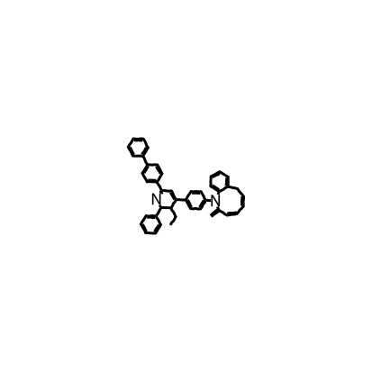 C=C1/C=C\C=C/Cc2ccccc2N1c1ccc(C2=CC(c3ccc(-c4ccccc4)cc3)=NC(c3ccccc3)C2CC)cc1